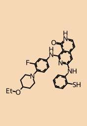 CCOC1CCN(c2ccc(Nc3nc(Nc4ccccc4S)cc4cc[nH]c(=O)c34)cc2F)CC1